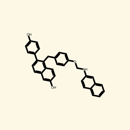 Oc1ccc(-c2ccc3cc(O)ccc3c2Cc2ccc(OCNc3ccc4ccccc4c3)cc2)cc1